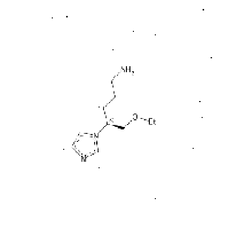 CCOC[C@H](CCCN)n1ccnc1